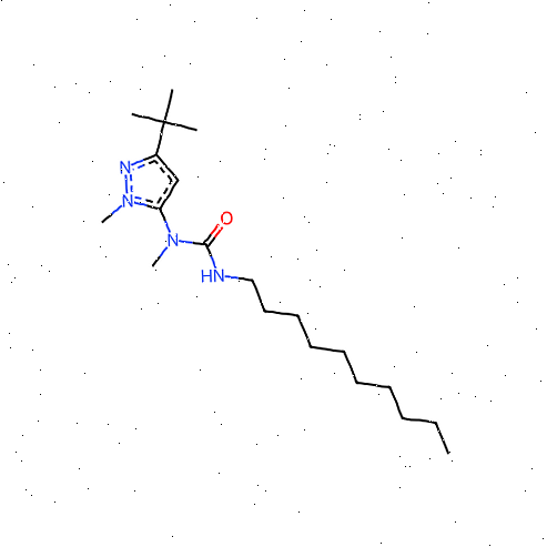 CCCCCCCCCCNC(=O)N(C)c1cc(C(C)(C)C)nn1C